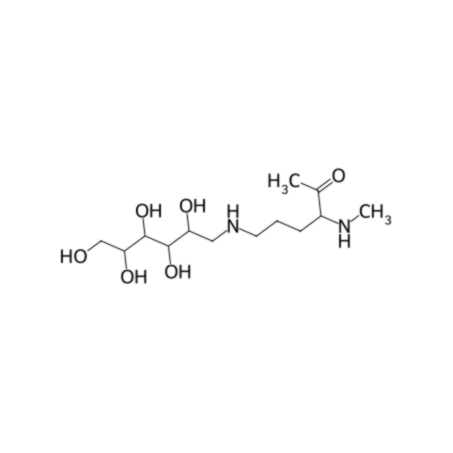 CNC(CCCNCC(O)C(O)C(O)C(O)CO)C(C)=O